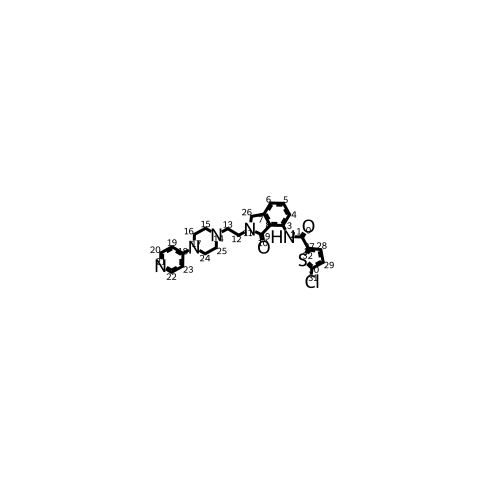 O=C(Nc1cccc2c1C(=O)N(CCN1CCN(c3ccncc3)CC1)C2)c1ccc(Cl)s1